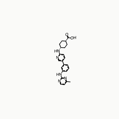 Cc1ccnc(Nc2cccc(-c3ccc(N[C@H]4CC[C@H](C(=O)O)CC4)nc3)c2)n1